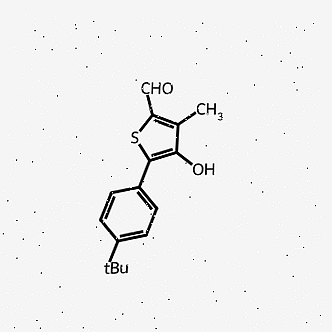 Cc1c(C=O)sc(-c2ccc(C(C)(C)C)cc2)c1O